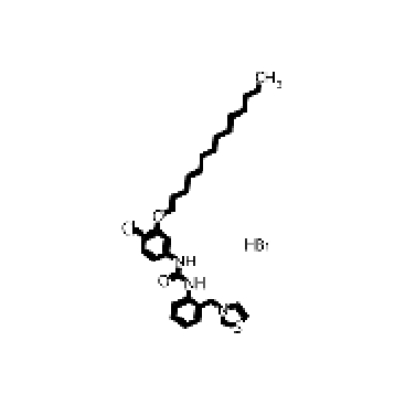 Br.CCCCCCCCCCCCCCOc1cc(NC(=O)Nc2ccccc2CN2C=CSC2)ccc1Cl